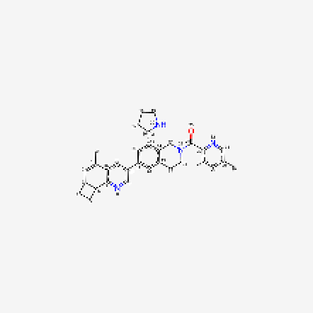 CC1=CC2CCC2c2ncc(-c3cc4c(c([C@@H]5CCCN5)c3)CN(C(=O)c3ccc(C)cn3)CC4)cc21